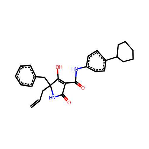 C=CCC1(Cc2ccccc2)NC(=O)C(C(=O)Nc2ccc(C3CCCCC3)cc2)=C1O